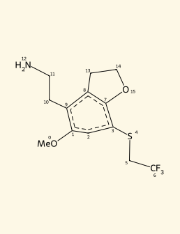 COc1cc(SCC(F)(F)F)c2c(c1CCN)CCO2